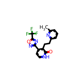 Cc1cccc(CCc2c(-c3noc(C(F)(F)F)n3)cc[nH]c2=O)n1